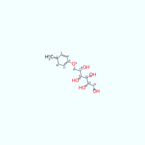 C=C1C=CC(OCC(O)C(O)C(O)C(O)CO)=CC1